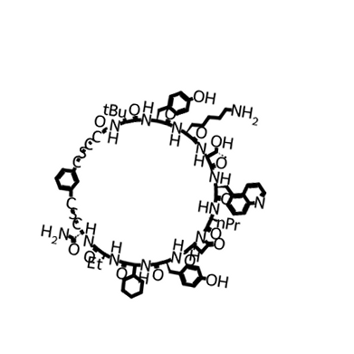 CCC[C@@H]1NC(=O)[C@H](Cc2cccc3ncccc23)NC(=O)[C@H]([C@@H](C)O)NC(=O)[C@H](CCCCCN)NC(=O)[C@H](Cc2ccc(O)cc2)NC(=O)C(C(C)(C)C)NC(=O)CCSCc2cccc(c2)CSC[C@@H](C(N)=O)NC(=O)[C@H](CC)NC(=O)C(C2CCCCC2)NC(=O)[C@H](Cc2ccc(O)cc2)NC(=O)[C@@H]2CC(=O)N2C1=O